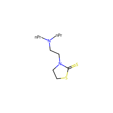 CCCN(CCC)CCN1CCSC1=S